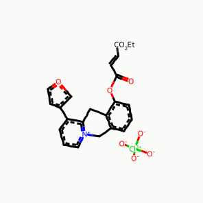 CCOC(=O)C=CC(=O)Oc1cccc2c1Cc1c(-c3ccoc3)ccc[n+]1C2.[O-][Cl+3]([O-])([O-])[O-]